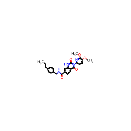 CCCc1ccc(CNC(=O)c2ccc3c(=O)n(-c4ccc(OC)c(OC)n4)c(=O)[nH]c3c2)cc1